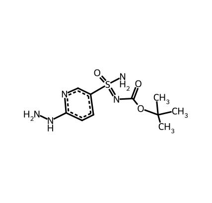 CC(C)(C)OC(=O)N=S(N)(=O)c1ccc(NN)nc1